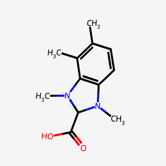 Cc1ccc2c(c1C)N(C)C(C(=O)O)N2C